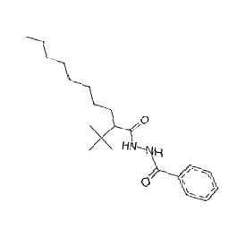 CCCCCCCCC(C(=O)NNC(=O)c1ccccc1)C(C)(C)C